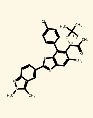 CC(=O)[C@@H](OC(C)(C)C)c1c(C)cc2nc(-c3ccc4nn(C)c(C)c4c3)sc2c1-c1ccc(Cl)cc1